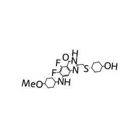 CO[C@H]1CC[C@@H](Nc2cc3nc(CS[C@H]4CC[C@H](O)CC4)[nH]c(=O)c3c(F)c2F)CC1